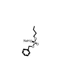 CCCCOS(=O)(=O)OCc1ccccc1.[NaH]